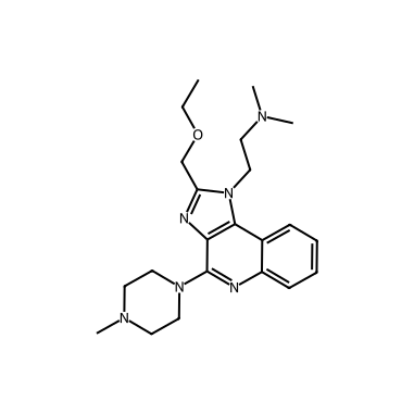 CCOCc1nc2c(N3CCN(C)CC3)nc3ccccc3c2n1CCN(C)C